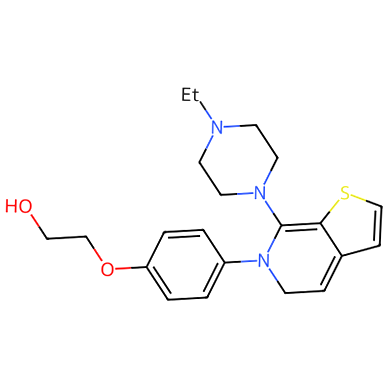 CCN1CCN(C2=c3sccc3=CCN2c2ccc(OCCO)cc2)CC1